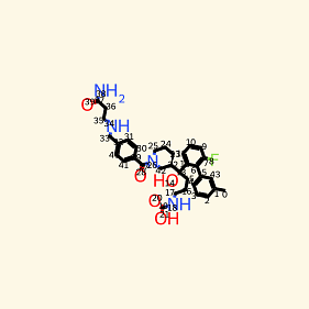 Cc1cccc(-c2c(F)cccc2[C@](O)(CCCNC(=O)O)[C@@H]2CCCN(C(=O)c3ccc(CNCCC(N)=O)cc3)C2)c1